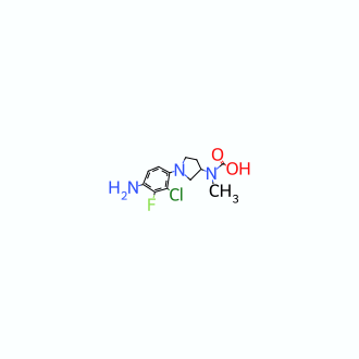 CN(C(=O)O)C1CCN(c2ccc(N)c(F)c2Cl)C1